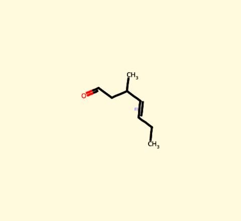 CC/C=C/C(C)CC=O